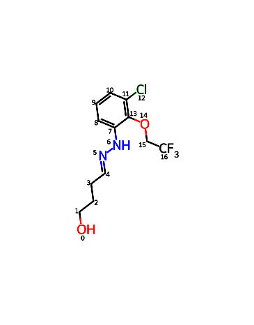 OCCCC=NNc1cccc(Cl)c1OCC(F)(F)F